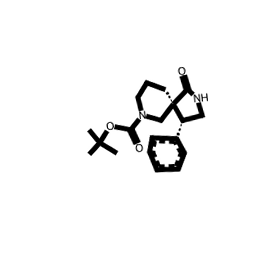 CC(C)(C)OC(=O)N1CCC[C@]2(C1)C(=O)NC[C@@H]2c1ccccc1